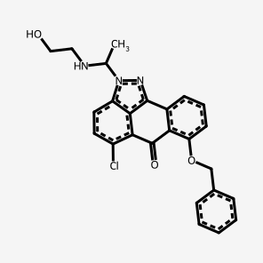 CC(NCCO)n1nc2c3c(c(Cl)ccc31)C(=O)c1c(OCc3ccccc3)cccc1-2